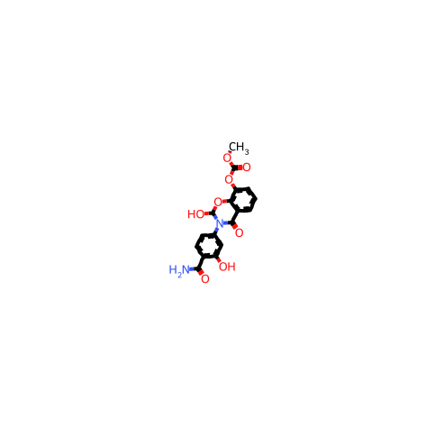 COC(=O)Oc1cccc2c1OC(O)N(c1ccc(C(N)=O)c(O)c1)C2=O